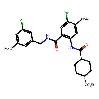 CCOC(=O)[C@H]1CC[C@H](C(=O)Nc2cc(OC)c(Br)cc2C(=O)NCc2cc(Cl)cc(OC)c2)CC1